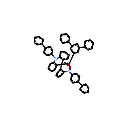 c1ccc(-c2ccc(N3c4ccccc4C4(c5ccccc53)c3ccccc3N(c3ccc(-c5ccccc5)cc3)c3ccc(-c5cc(-c6ccccc6)cc(-c6ccccc6)c5)cc34)cc2)cc1